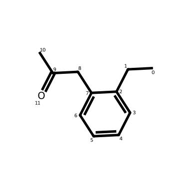 CCc1ccccc1CC(C)=O